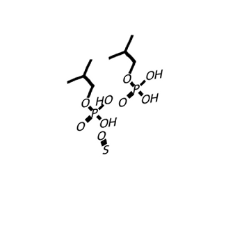 CC(C)COP(=O)(O)O.CC(C)COP(=O)(O)O.O=S